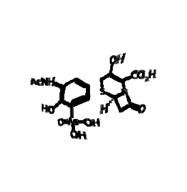 CC(=O)Nc1cccc([As](=O)(O)O)c1O.O=C(O)C1=C(O)CS[C@@H]2CC(=O)N12